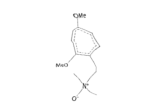 COc1ccc(C[N+](C)(C)[O-])c(OC)c1